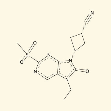 CCn1c(=O)n([C@H]2C[C@@H](C#N)C2)c2nc(S(C)(=O)=O)ncc21